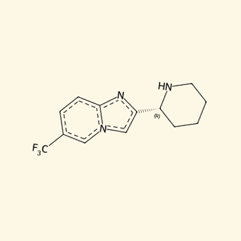 FC(F)(F)c1ccc2nc([C@H]3CCCCN3)cn2c1